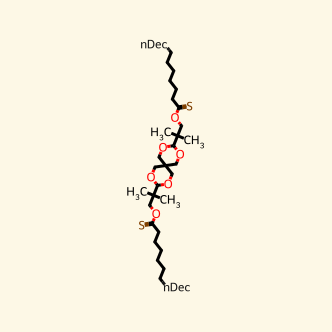 CCCCCCCCCCCCCCCCC(=S)OCC(C)(C)C1OCC2(CO1)COC(C(C)(C)COC(=S)CCCCCCCCCCCCCCCC)OC2